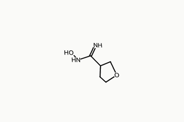 N=C(NO)C1CCOC1